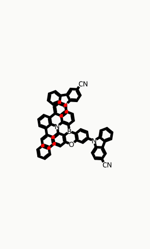 N#Cc1ccc2c(c1)c1ccccc1n2-c1ccc2c(c1)Oc1cc(-c3ccccc3)cc3c1B2c1ccc(-n2c4ccccc4c4cc(C#N)ccc42)cc1N3c1c(-c2ccccc2)cccc1-c1ccccc1